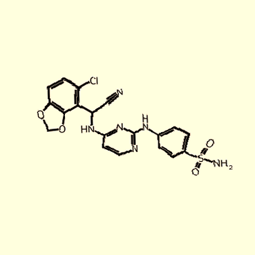 N#CC(Nc1ccnc(Nc2ccc(S(N)(=O)=O)cc2)n1)c1c(Cl)ccc2c1OCO2